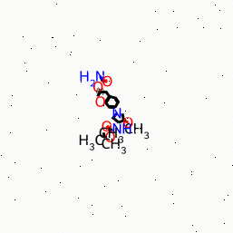 COC1CN(c2ccc3c(c2)OC[C@H](OC(N)=O)C3)CC1NC(=O)OC(C)(C)C